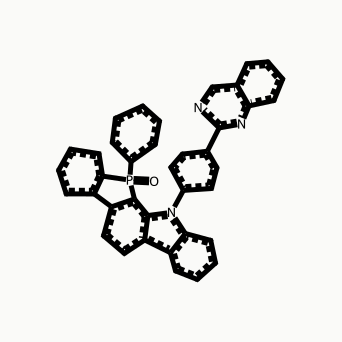 O=P1(c2ccccc2)c2ccccc2-c2ccc3c4ccccc4n(-c4ccc(-c5ncc6ccccc6n5)cc4)c3c21